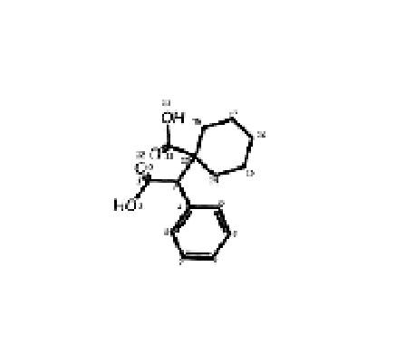 O=C(O)C(c1ccccc1)C1(C(=O)O)CCCCC1